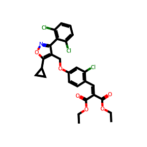 CCOC(=O)C(=Cc1ccc(OCc2c(-c3c(Cl)cccc3Cl)noc2C2CC2)cc1Cl)C(=O)OCC